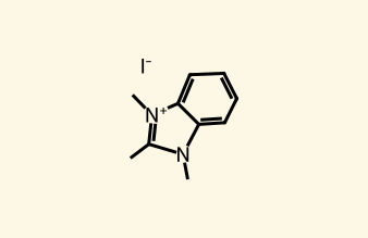 Cc1n(C)c2ccccc2[n+]1C.[I-]